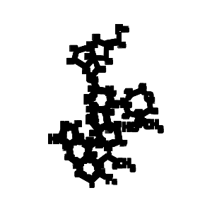 CCc1c(F)ccc2cc3[nH]ncc3c(-c3nccc4c3sc3nc(OC[C@@]56CCCN5C/C(=C\F)C6)nc(N5CCOC[C@@](C)(O)C5)c34)c12